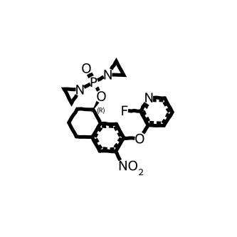 O=[N+]([O-])c1cc2c(cc1Oc1cccnc1F)[C@H](OP(=O)(N1CC1)N1CC1)CCC2